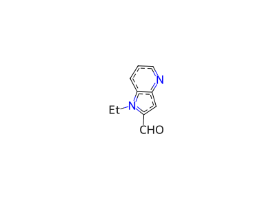 CCn1c(C=O)cc2ncccc21